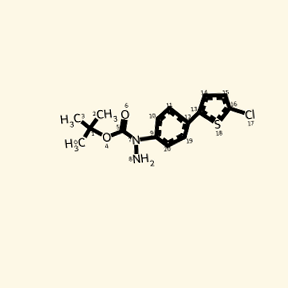 CC(C)(C)OC(=O)N(N)c1ccc(-c2ccc(Cl)s2)cc1